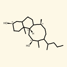 CCCC(C)C1CC[C@H](C)C2CCC3C[C@H](O)CCC3(C)[C@H]2C[C@H](O)C1C